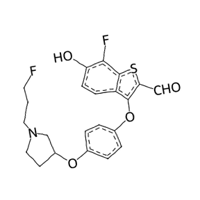 O=Cc1sc2c(F)c(O)ccc2c1Oc1ccc(OC2CCN(CCCF)C2)cc1